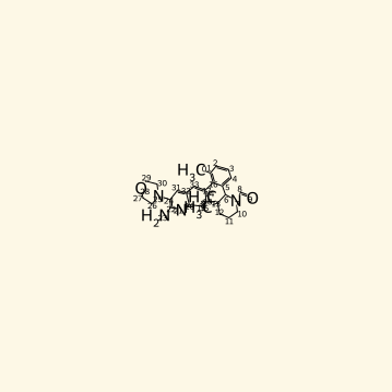 Cc1cccc(C2N(C=O)CCCC2(C)C)c1-c1ccc2nc(N)c(N3CCOCC3)cc2c1